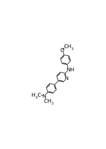 COc1ccc(Nc2ccc(-c3ccc(N(C)C)cc3)cn2)cc1